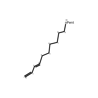 [C]=CC=CCCCCCCCCCCC